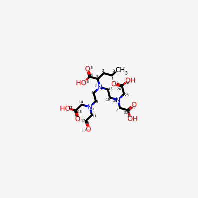 CCCC(C(=O)O)N(CCN(CC=O)CC(=O)O)CCN(CC(=O)O)CC(=O)O